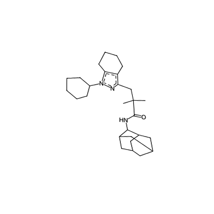 CC(C)(Cc1nn(C2CCCCC2)c2c1CCCC2)C(=O)NC1C2CC3CC(C2)CC1C3